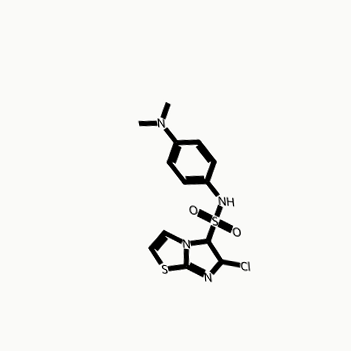 CN(C)c1ccc(NS(=O)(=O)C2C(Cl)N=C3SC=CN32)cc1